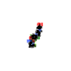 CN(C1CC(O)C1)C1(C)CCN(c2cc(F)c(S(=O)(=O)Nc3cccc(F)n3)c(F)c2Cl)C1